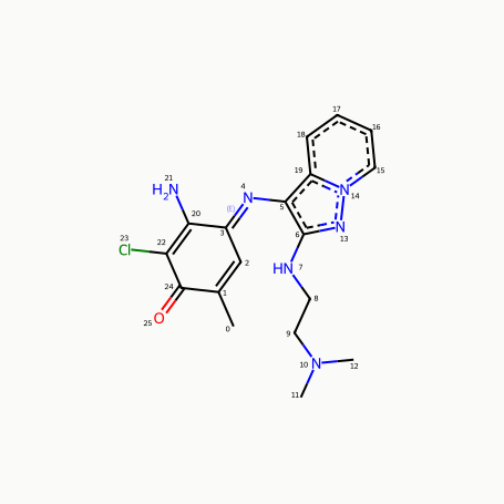 CC1=C/C(=N\c2c(NCCN(C)C)nn3ccccc23)C(N)=C(Cl)C1=O